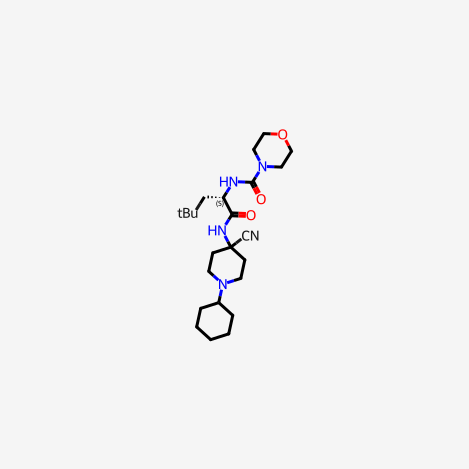 CC(C)(C)C[C@H](NC(=O)N1CCOCC1)C(=O)NC1(C#N)CCN(C2CCCCC2)CC1